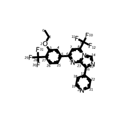 CCOc1cc(-c2cc(C(F)(F)F)n3cnc(-c4ccncc4)c3n2)ccc1C(F)(F)F